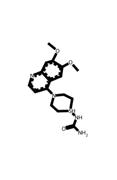 COc1cc2nccc(N3CC[SH](NC(N)=O)CC3)c2cc1OC